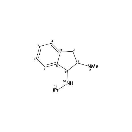 CNC1Cc2ccccc2C1NC(C)C